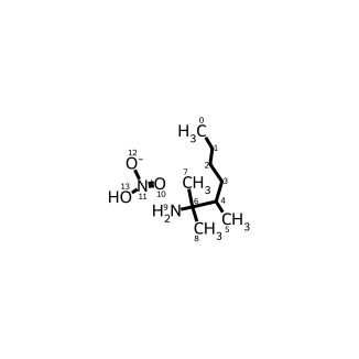 CCCCC(C)C(C)(C)N.O=[N+]([O-])O